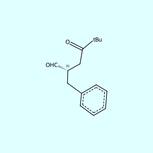 CC(C)(C)C(=O)C[C@@H](C=O)Cc1ccccc1